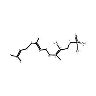 CC(C)=CCCC(C)=CCCC(C)=C(O)COP(=O)(O)O